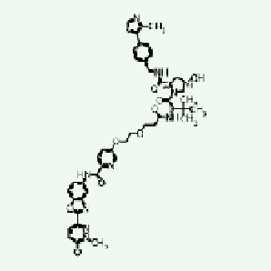 Cc1ncsc1-c1ccc(CNC(=O)[C@H]2C[C@H](O)CN2C(=O)[C@H](NC(=O)CCOCCOc2ccc(C(=O)Nc3ccc4oc(-c5ccc(=O)n(C)n5)nc4c3)nc2)C(C)(C)C)cc1